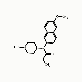 CCC(=O)N(c1ccc2cc(OC)ccc2c1)C1CCN(C)CC1